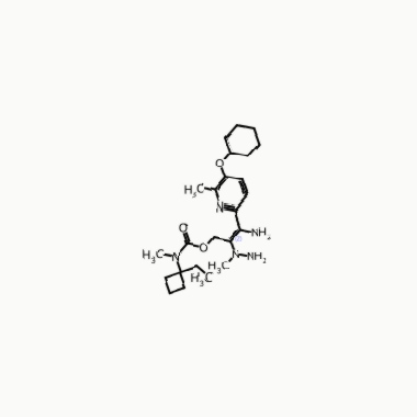 CCC1(N(C)C(=O)OC/C(=C(/N)c2ccc(OC3CCCCC3)c(C)n2)N(C)N)CCC1